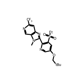 CCS(=O)(=O)c1cc(OCC(C)(C)C)cnc1-c1nc2cc(C(F)(F)F)ncc2n1C